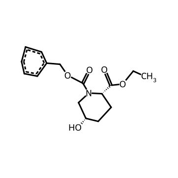 CCOC(=O)[C@@H]1CC[C@H](O)CN1C(=O)OCc1ccccc1